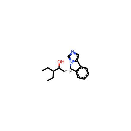 CCC(CC)C(O)C[C@H]1c2ccccc2-c2cncn21